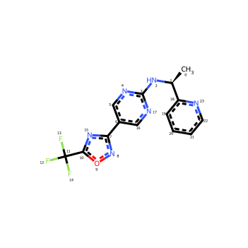 C[C@H](Nc1ncc(-c2noc(C(F)(F)F)n2)cn1)c1ccccn1